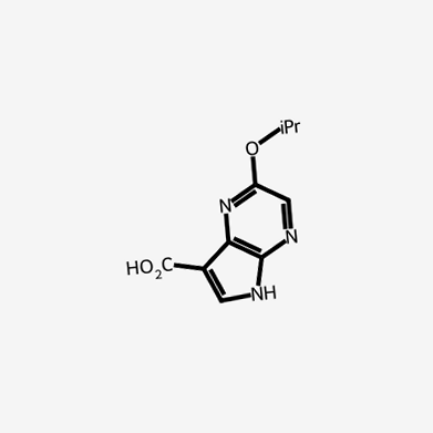 CC(C)Oc1cnc2[nH]cc(C(=O)O)c2n1